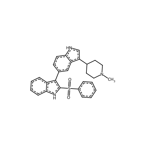 CN1CCC(c2c[nH]c3ccc(-c4c(S(=O)(=O)c5ccccc5)[nH]c5ccccc45)cc23)CC1